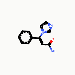 NC(=O)C=C(c1ccccc1)n1ccnc1